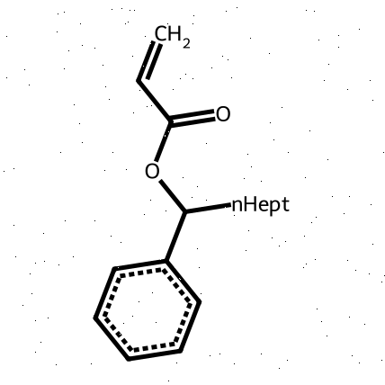 C=CC(=O)OC(CCCCCCC)c1ccccc1